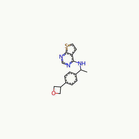 CC(Nc1ncnc2sccc12)c1ccc(C2COC2)cc1